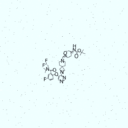 CC(C)N(CC(F)F)C(=O)c1cc(F)ccc1Oc1cncnc1N1CC2(CCN(C[C@@H]3CC[C@@H](NC(=O)OC(C)(C)C)CO3)CC2)C1